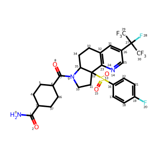 NC(=O)C1CCC(C(=O)N2CCC3(S(=O)(=O)c4ccc(F)cc4)c4ncc(C(F)(C(F)(F)F)C(F)(F)F)cc4CCC23)CC1